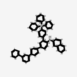 c1ccc(-c2cccc(-c3ccc(-c4ccc(Nc5ccc6ccccc6c5)c(-c5ccc([Si](c6ccccc6)(c6ccccc6)c6ccccc6)cc5)c4)cc3)c2)cc1